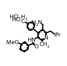 COc1cccc(C(=O)Nc2c(C)nc(CC(C)C)c(CN)c2-c2ccc(C)cc2)c1.Cl.Cl